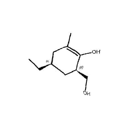 CC[C@H]1CC(C)=C(O)[C@@H](CO)C1